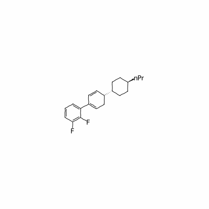 CCC[C@H]1CC[C@H](C2C=CC(c3cccc(F)c3F)=CC2)CC1